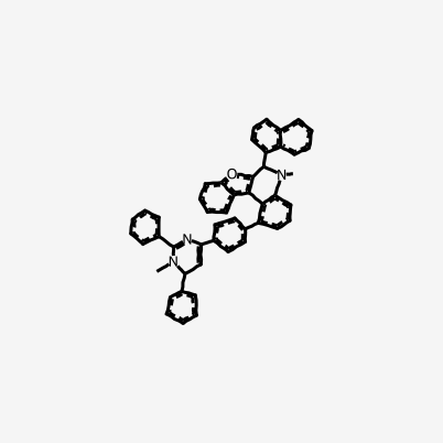 CN1C(c2ccccc2)=NC(c2ccc(-c3cccc4c3-c3c(oc5ccccc35)C(c3cccc5ccccc35)N4C)cc2)=CC1c1ccccc1